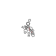 O=C(C(O)C1([C@H]2COC[C@@H](C3CC3)N2S(=O)(=O)c2ccc(Cl)cc2)CC1)N1C2CCC1CC(N1CCCCC1)C2